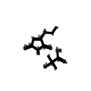 CC(C)(Br)C(=O)O.CCOC1=CC(=O)NC1=O